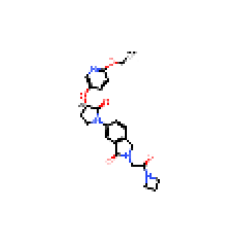 O=C(CN1Cc2ccc(N3CC[C@@H](Oc4ccc(OCC(F)(F)F)nc4)C3=O)cc2C1=O)N1CCC1